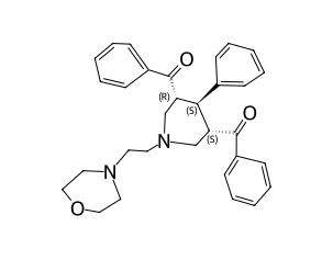 O=C(c1ccccc1)[C@H]1CN(CCN2CCOCC2)C[C@@H](C(=O)c2ccccc2)[C@@H]1c1ccccc1